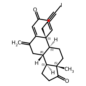 C=C1C[C@H]2[C@@H]3CCC(=O)[C@@]3(C)CC[C@@H]2[C@@]2(CC#CI)C=CC(=O)C=C12